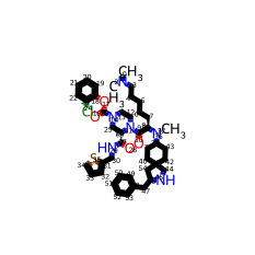 CN(C)CCCCC[C@H](C(=O)N1CCN(C(=O)Oc2ccccc2Cl)C[C@H]1C(=O)NCc1cccs1)N(C)C1CCC2(CC1)CNC(Cc1ccccc1)C2